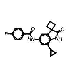 O=C(Nc1cc(C2CC2)c2c(c1)C1(CCC1)C(=O)N2)c1ccc(F)cc1